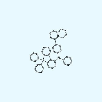 c1ccc(N(c2ccc(-c3cccc4ccccc34)cc2)c2cccc3c2-c2ccccc2C3(c2ccccc2)c2ccccc2)cc1